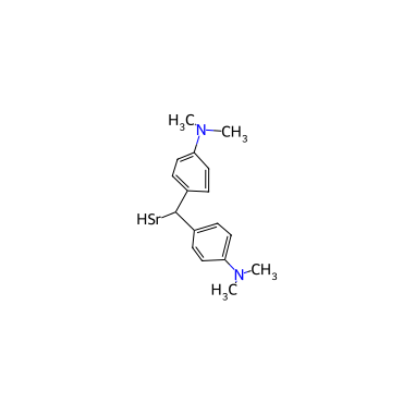 CN(C)c1ccc([CH]([SrH])c2ccc(N(C)C)cc2)cc1